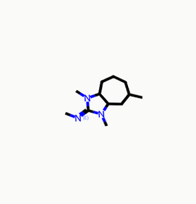 C/N=C1\N(C)C2CCCC(C)CC2N1C